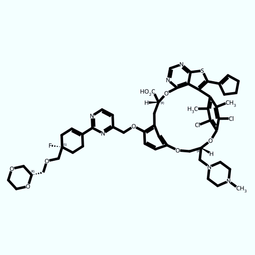 Cc1c(Cl)c2c(Cl)c(C)c1-c1c(C3=CCCC3)sc3ncnc(c13)O[C@@H](C(=O)O)Cc1cc(ccc1OCc1ccnc(C3=CC[C@](F)(COC[C@H]4COCCO4)CC3)n1)OC[C@@H](CN1CCN(C)CC1)O2